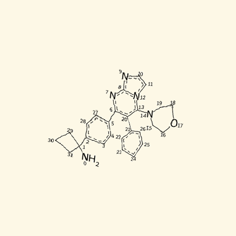 NC1(c2ccc(-c3nc4nccn4c(N4CCOCC4)c3-c3ccccc3)cc2)CCC1